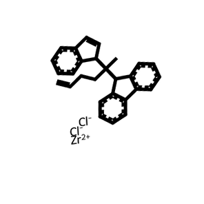 C=CCCC(C)(C1C=Cc2ccccc21)C1c2ccccc2-c2ccccc21.[Cl-].[Cl-].[Zr+2]